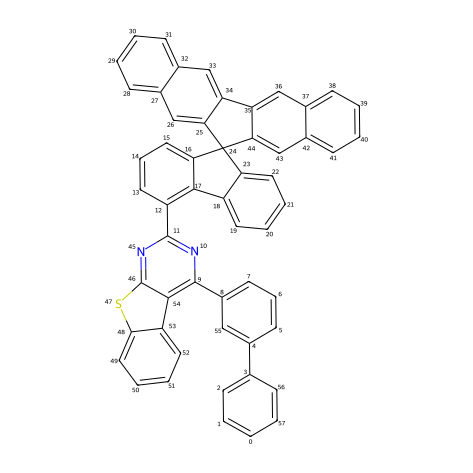 c1ccc(-c2cccc(-c3nc(-c4cccc5c4-c4ccccc4C54c5cc6ccccc6cc5-c5cc6ccccc6cc54)nc4sc5ccccc5c34)c2)cc1